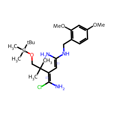 COc1ccc(CN/C(N)=C/C(=C(\N)Cl)C(C)(C)CO[Si](C)(C)C(C)(C)C)c(OC)c1